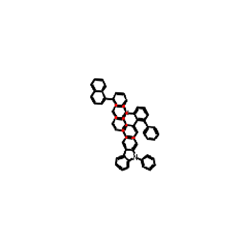 c1ccc(-c2ccccc2-c2c(-c3ccccc3)cccc2N(c2cccc(-c3ccc4c(c3)c3ccccc3n4-c3ccccc3)c2)c2cccc(-c3cccc4ccccc34)c2)cc1